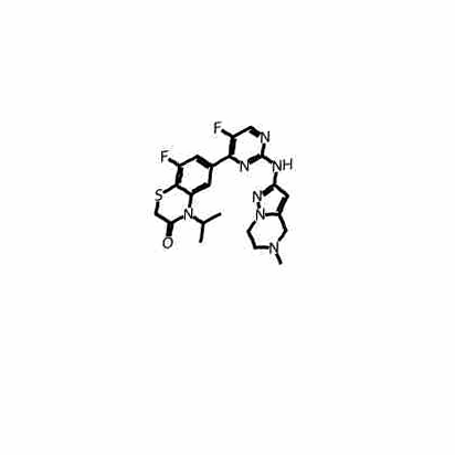 CC(C)N1C(=O)CSc2c(F)cc(-c3nc(Nc4cc5n(n4)CCN(C)C5)ncc3F)cc21